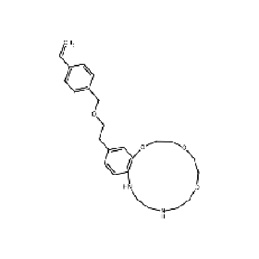 C=Cc1ccc(COCCc2ccc3c(c2)OCCOCCOCCNCCN3)cc1